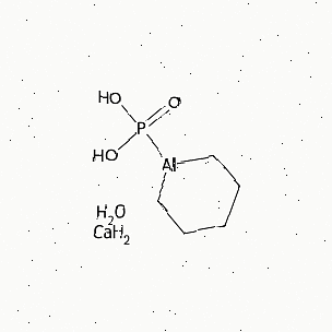 O.O=[P](O)(O)[Al]1[CH2]CCC[CH2]1.[CaH2]